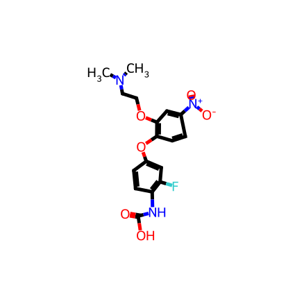 CN(C)CCOc1cc([N+](=O)[O-])ccc1Oc1ccc(NC(=O)O)c(F)c1